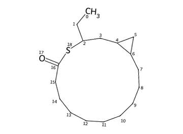 CCC1CC2CC2CCCCCCCCCC(=O)S1